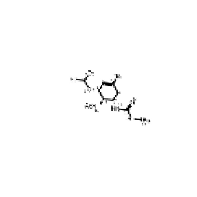 CCC(CC)O[C@@H]1C=C(Br)C[C@H](NC(=O)OC(C)(C)C)[C@H]1NC(C)=O